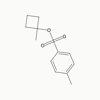 Cc1ccc(S(=O)(=O)OC2(C)CCC2)cc1